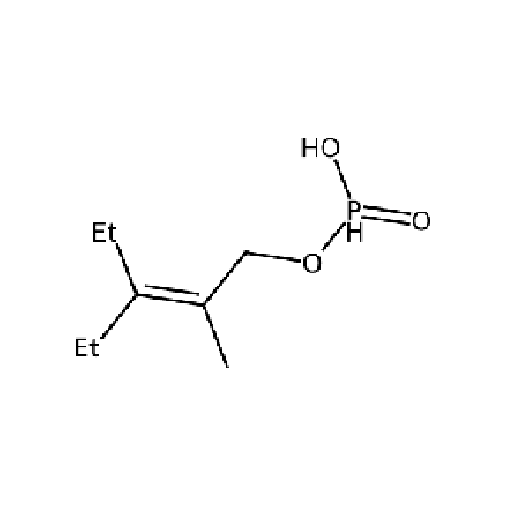 CCC(CC)=C(C)CO[PH](=O)O